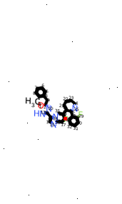 CO/C(Cc1ccccc1)=N\C(=N)c1cnc2ccc(C3=CC=CCN=C3c3c(F)cccc3F)cn12